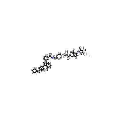 CC1=CC(C)=N/C1=C\c1ccc(CCC(=O)NCCN2CCN(C/C=C/C(=O)N3CCC[C@@H](n4nc(-c5ccc(Oc6ccccc6)cc5)c5c(N)ncnc54)C3)CC2)n1B(F)F